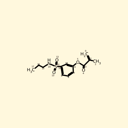 C=C(C)C(=O)Oc1cccc(S(=O)(=O)NCCC)c1